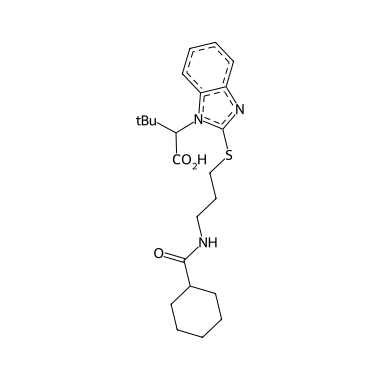 CC(C)(C)C(C(=O)O)n1c(SCCCNC(=O)C2CCCCC2)nc2ccccc21